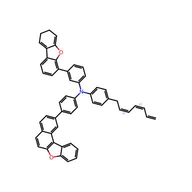 C=C/C=C\C=C/Cc1ccc(N(c2ccc(-c3ccc4ccc5oc6ccccc6c5c4c3)cc2)c2cccc(-c3cccc4c5c(oc34)=CCCC=5)c2)cc1